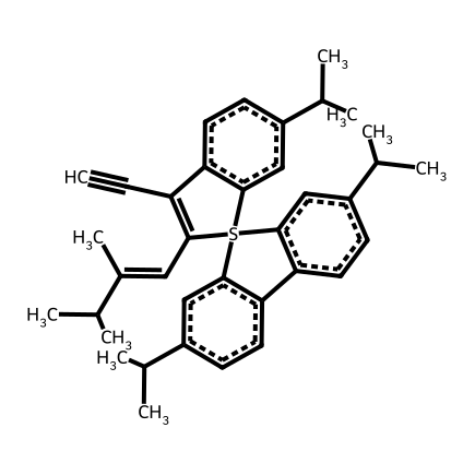 C#CC1=C(/C=C(\C)C(C)C)S2(c3cc(C(C)C)ccc31)c1cc(C(C)C)ccc1-c1ccc(C(C)C)cc12